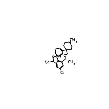 C[C@@H](OCC1(c2ccccc2)CCN(C)CC1)c1cc(Cl)cc2c(Br)n[nH]c12